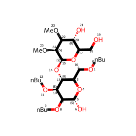 CCCCOCC1O[C@H](O)C(OCCCC)[C@@H](OCCCC)[C@@H]1O[C@@H]1OC(CO)[C@@H](O)C(OC)[C@@H]1OC